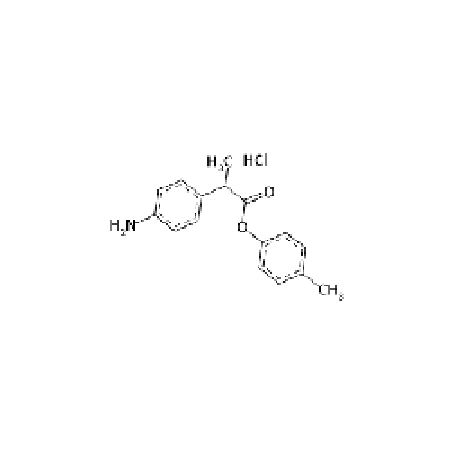 Cc1ccc(OC(=O)C(C)c2ccc(N)cc2)cc1.Cl